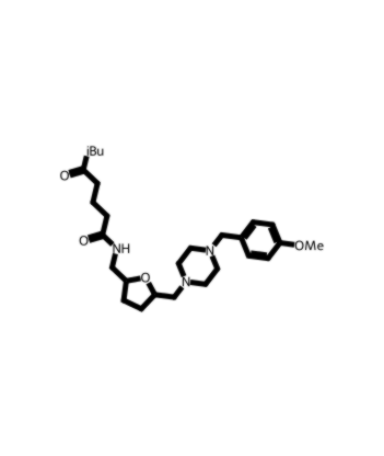 CCC(C)C(=O)CCCC(=O)NCC1CCC(CN2CCN(Cc3ccc(OC)cc3)CC2)O1